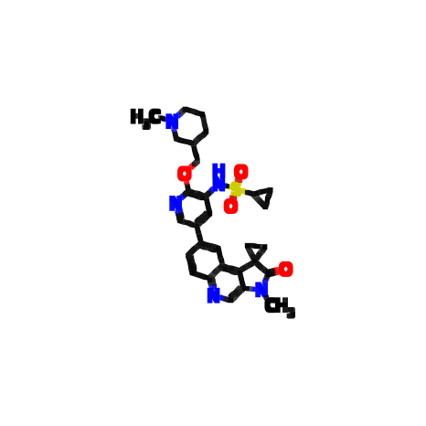 CN1CCCC(COc2ncc(-c3ccc4ncc5c(c4c3)C3(CC3)C(=O)N5C)cc2NS(=O)(=O)C2CC2)C1